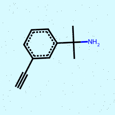 C#Cc1cccc(C(C)(C)N)c1